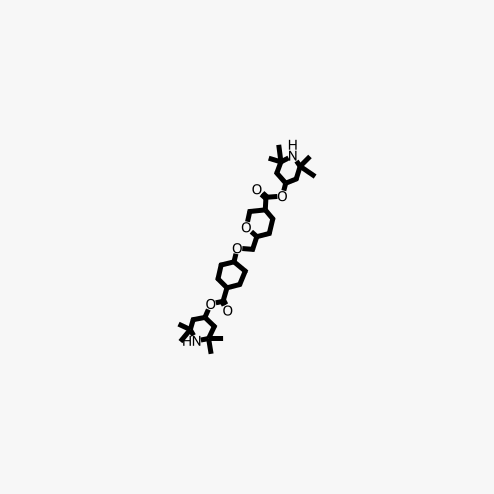 CC1(C)CC(OC(=O)C2CCC(OCC3CCC(C(=O)OC4CC(C)(C)NC(C)(C)C4)CO3)CC2)CC(C)(C)N1